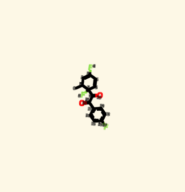 CC1C=C(F)C=CC1(F)C(=O)C(=O)c1ccc(F)cc1